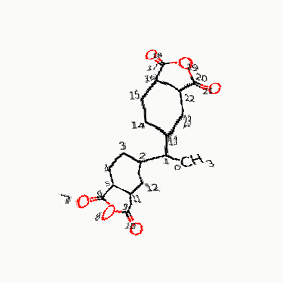 CC(C1CCC2C(=O)OC(=O)C2C1)C1CCC2C(=O)OC(=O)C2C1